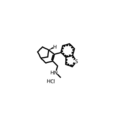 CNCC1=C(c2cccc3sccc23)[C@H]2CCC(C1)C2.Cl